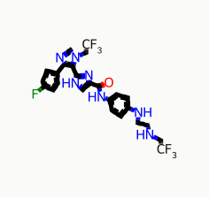 O=C(Nc1ccc(NCCNCC(F)(F)F)cc1)c1c[nH]c(-c2c(-c3ccc(F)cc3)ncn2CC(F)(F)F)n1